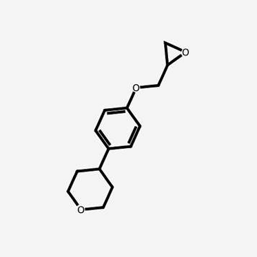 c1cc(C2CCOCC2)ccc1OCC1CO1